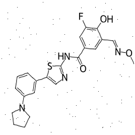 CO/N=C/c1cc(C(=O)Nc2ncc(-c3cccc(N4CCCC4)c3)s2)cc(F)c1O